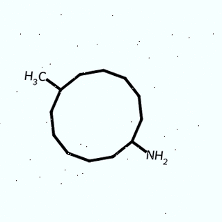 CC1CCCCCC(N)CCCCC1